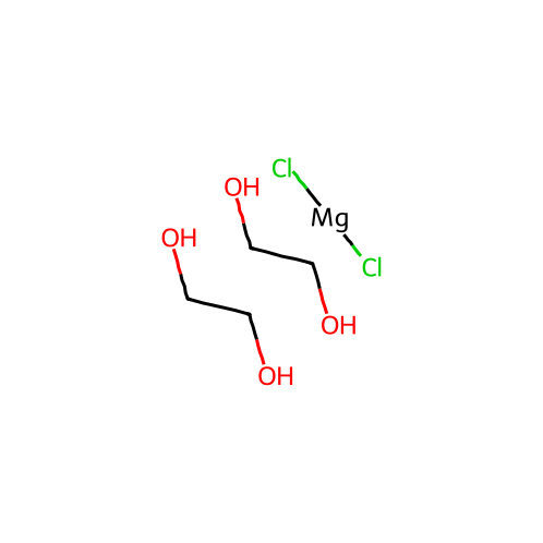 OCCO.OCCO.[Cl][Mg][Cl]